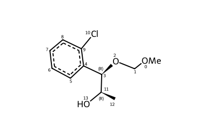 COCO[C@H](c1ccccc1Cl)[C@@H](C)O